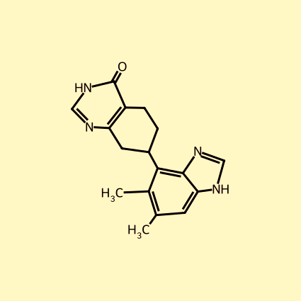 Cc1cc2[nH]cnc2c(C2CCc3c(nc[nH]c3=O)C2)c1C